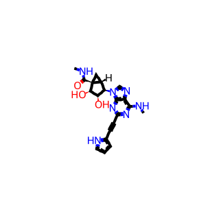 CNC(=O)[C@@]12C[C@@H]1[C@@H](n1cnc3c(NC)nc(C#Cc4ccc[nH]4)nc31)[C@H](O)[C@@H]2O